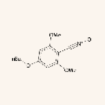 CCCCOc1cc(OC)c(C#[N+][O-])c(OC)c1